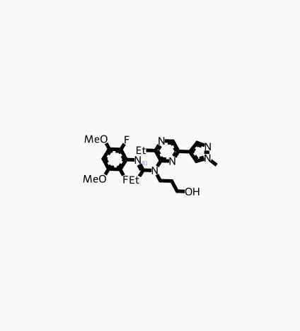 CC/C(=N\c1c(F)c(OC)cc(OC)c1F)N(CCCO)c1nc(-c2cnn(C)c2)cnc1CC